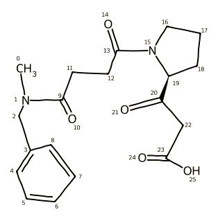 CN(Cc1ccccc1)C(=O)CCC(=O)N1CCC[C@H]1C(=O)CC(=O)O